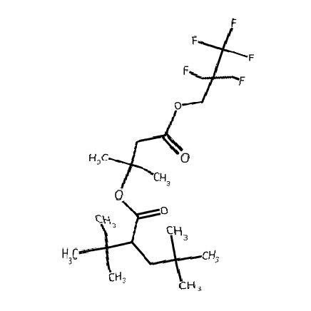 CC(C)(C)CC(C(=O)OC(C)(C)CC(=O)OCC(F)(F)C(F)(F)F)C(C)(C)C